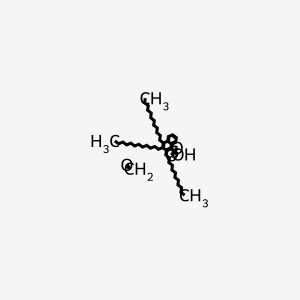 C=O.CCCCCCCCCCCCc1c(CCCCCCCCCCCC)c(S(=O)(=O)O)c2ccccc2c1CCCCCCCCCCCC